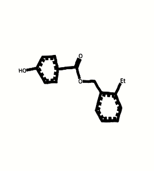 CCc1ccccc1COC(=O)c1ccc(O)cc1